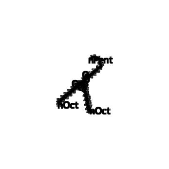 CCCCC/C=C\C/C=C\C/C=C\CCCCCCC(=O)OC[C@@H](COC(=O)CCCCCCCCC/C=C\CCCCCCCC)OC(=O)CCCCCCCCC/C=C\CCCCCCCC